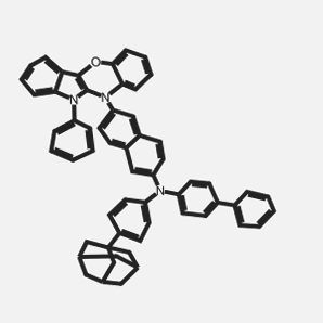 c1ccc(-c2ccc(N(c3ccc(C45CC6CC(CC(C6)C4)C5)cc3)c3ccc4cc(N5c6ccccc6Oc6c5n(-c5ccccc5)c5ccccc65)ccc4c3)cc2)cc1